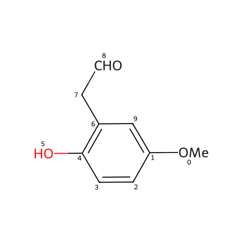 COc1ccc(O)c(CC=O)c1